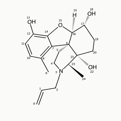 C=CCN1CC[C@]23c4c(C)ccc(O)c4O[C@H]2[C@H](O)CC[C@@]3(O)[C@H]1C